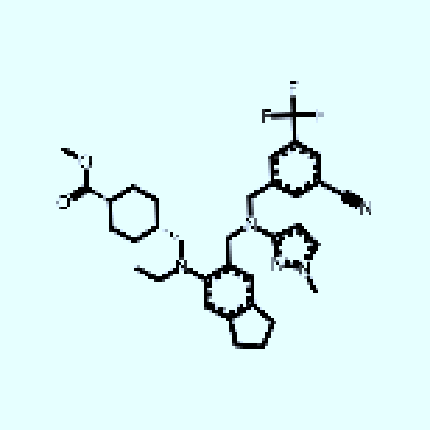 CCN(C[C@H]1CC[C@H](C(=O)OC)CC1)c1cc2c(cc1CN(Cc1cc(C#N)cc(C(F)(F)F)c1)c1ccn(C)n1)CCC2